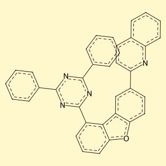 c1ccc(-c2nc(-c3ccccc3)nc(-c3cccc4oc5ccc(-c6ccc7ccccc7n6)cc5c34)n2)cc1